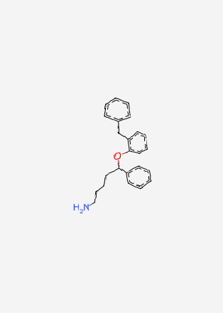 NCCCCC(Oc1ccccc1Cc1ccccc1)c1ccccc1